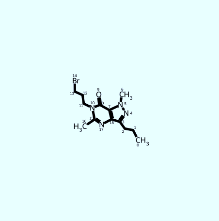 CCCc1nn(C)c2c(=O)n(CCCBr)c(C)nc12